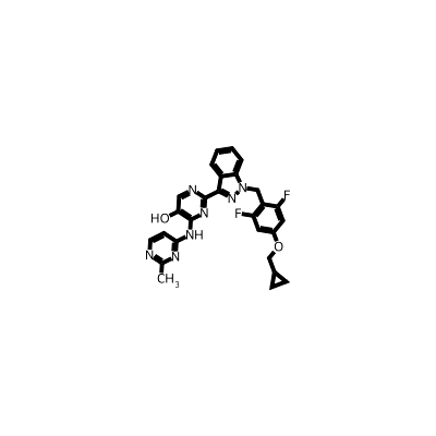 Cc1nccc(Nc2nc(-c3nn(Cc4c(F)cc(OCC5CC5)cc4F)c4ccccc34)ncc2O)n1